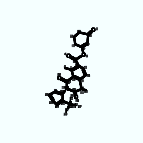 Cc1c(C(=O)OC2=CC(=O)CCC2)ccc2c1c(=O)n(-c1ccccc1C(F)(F)F)c(=O)n2C